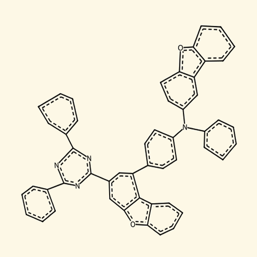 c1ccc(-c2nc(-c3ccccc3)nc(-c3cc(-c4ccc(N(c5ccccc5)c5ccc6oc7ccccc7c6c5)cc4)c4c(c3)oc3ccccc34)n2)cc1